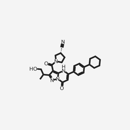 CC(CO)c1nn2c(=O)cc(-c3ccc(C4CCCCC4)cc3)[nH]c2c1C(=O)N1CC[C@@H](C#N)C1